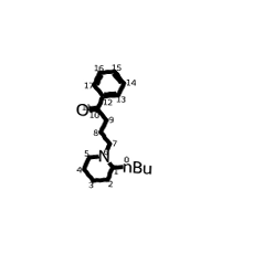 CCCCC1CCCCN1CCCC(=O)c1ccccc1